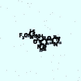 O=C(Nc1nc(C(F)(F)F)cs1)c1cc(Oc2cncnc2)cn2ncnc12